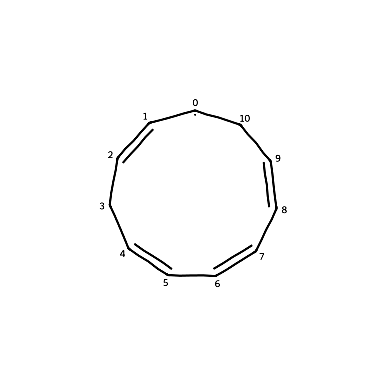 [CH]1C=CCC=CC=CC=CC1